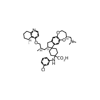 C[C@@H](COc1ccnc2c1[C@H](C)CCC2)C[C@H]1Cc2cc3c(cc2C12CCC(Nc1cccc(Cl)c1)(C(=O)O)CC2)O[C@H](CN(C)C)CCO3